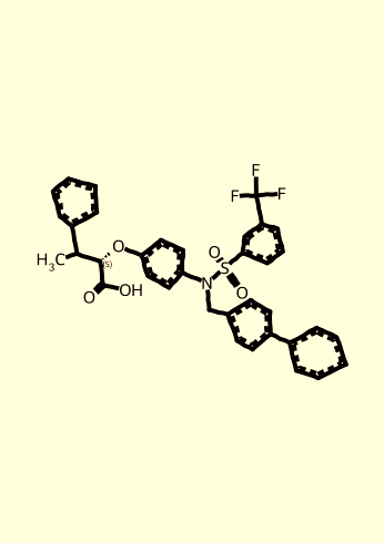 CC(c1ccccc1)[C@H](Oc1ccc(N(Cc2ccc(-c3ccccc3)cc2)S(=O)(=O)c2cccc(C(F)(F)F)c2)cc1)C(=O)O